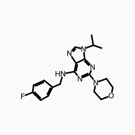 CC(C)n1cnc2c(NCc3ccc(F)cc3)nc(N3CCOCC3)nc21